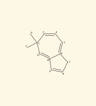 CC1(C)C=CC=C2CC=CC2=C1